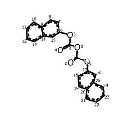 O=C(OC(=O)Oc1ccc2ccccc2c1)Oc1ccc2ccccc2c1